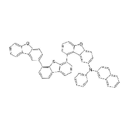 c1ccc(N(c2ccc3ccccc3c2)c2ccc3oc4cccc(-c5cccc6c5sc5c(-c7ccc8oc9ccccc9c8c7)cccc56)c4c3c2)cc1